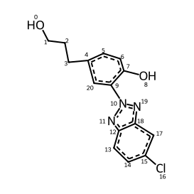 OCCCc1ccc(O)c(-n2nc3ccc(Cl)cc3n2)c1